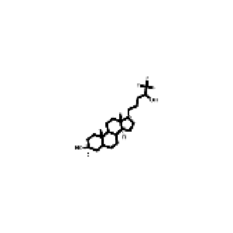 CC12CC[C@](C)(O)CC1CCC1C2CCC2(C)[C@@H](CCCC(O)C(F)(F)F)CC[C@@H]12